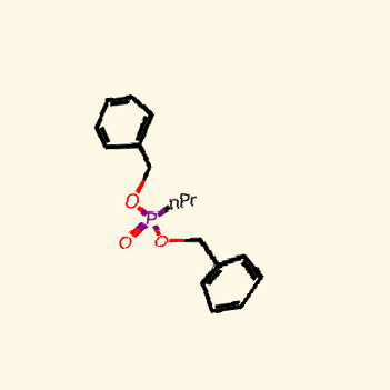 CCCP(=O)(OCc1ccccc1)OCc1ccccc1